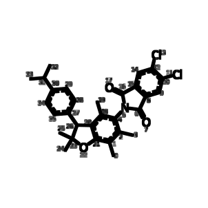 Cc1c(C)c(N2C(=O)c3cc(Cl)c(Cl)cc3C2=O)c(C)c2c1OC(C)(C)C2c1ccc(C(C)C)cc1